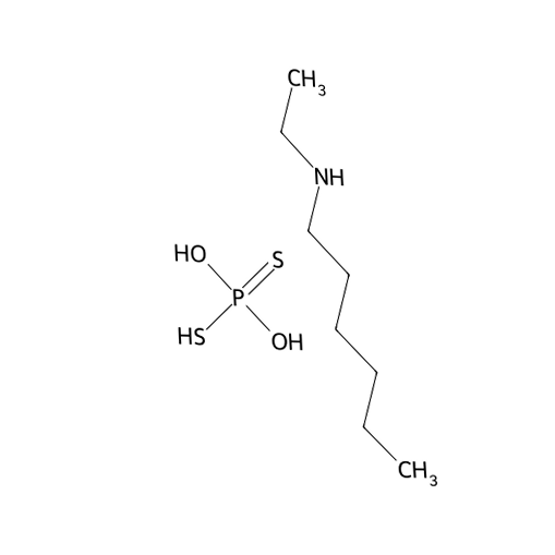 CCCCCCNCC.OP(O)(=S)S